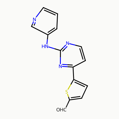 O=Cc1ccc(-c2ccnc(Nc3cccnc3)n2)s1